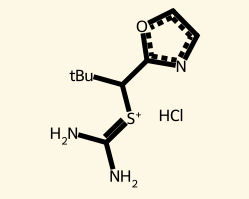 CC(C)(C)C([S+]=C(N)N)c1ncco1.Cl